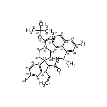 C=CCC(C(=O)N[C@@H](C)c1cc(Cl)cc2ccccc12)C1(c2ccc(F)cc2)CCN(C(=O)OC(C)(C)C)CC1